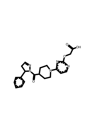 O=C(O)COc1nccc(N2CCC(C(=O)N3N=CCC3c3ccccc3)CC2)n1